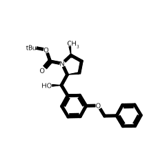 C[C@H]1CC[C@@H]([C@H](O)c2cccc(OCc3ccccc3)c2)N1C(=O)OC(C)(C)C